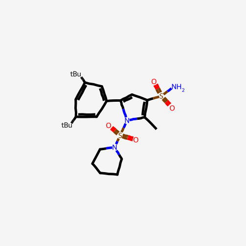 Cc1c(S(N)(=O)=O)cc(-c2cc(C(C)(C)C)cc(C(C)(C)C)c2)n1S(=O)(=O)N1CCCCC1